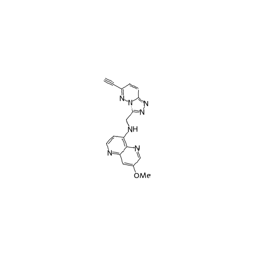 C#Cc1ccc2nnc(CNc3ccnc4cc(OC)cnc34)n2n1